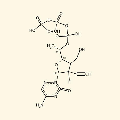 C#CC1(F)C(CO)[C@@H]([C@H](C)OP(=O)(O)OP(=O)(O)OP(=O)(O)O)O[C@H]1n1ncc(N)nc1=O